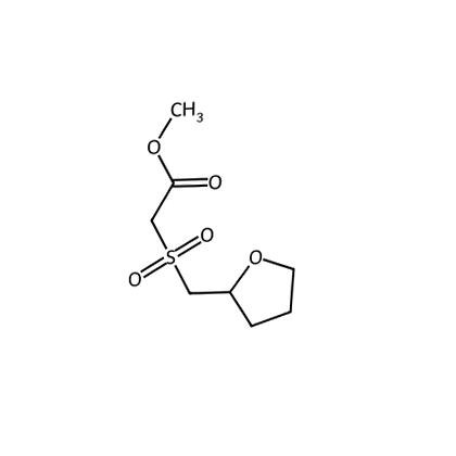 COC(=O)CS(=O)(=O)CC1CCCO1